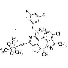 Cc1nn(CC(F)(F)F)c2c(-c3c([C@@H](N)Cc4cc(F)cc(F)c4)nc(C#CC(C)(C)S(C)(=O)=O)c4c3CCC4)ccc(Cl)c12